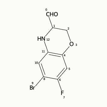 O=CC1COc2cc(F)c(Br)cc2N1